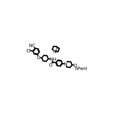 C1CN2CCC1O2.CCCCCOC1CCN(c2ccc(C(=O)NC3CCC(Oc4ccc(C#N)c(Cl)c4)CC3)cc2)CC1